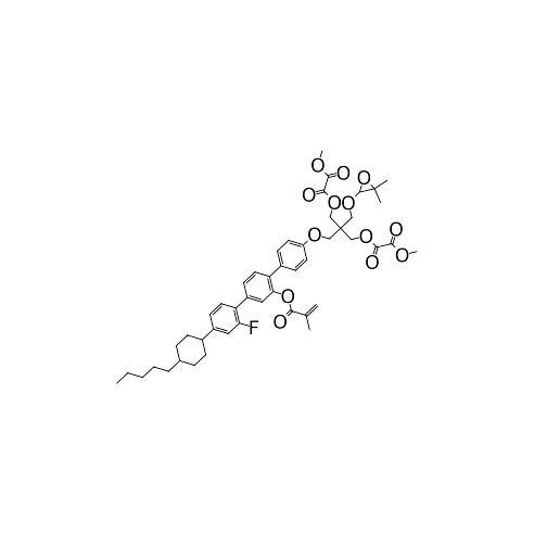 C=C(C)C(=O)Oc1cc(-c2ccc(C3CCC(CCCCC)CC3)cc2F)ccc1-c1ccc(OCC(COC(=O)C(=O)OC)(COC(=O)C(=O)OC)COC2OC2(C)C)cc1